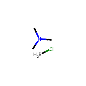 BCl.CN(C)C